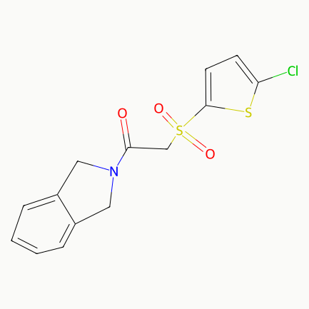 O=C(CS(=O)(=O)c1ccc(Cl)s1)N1Cc2ccccc2C1